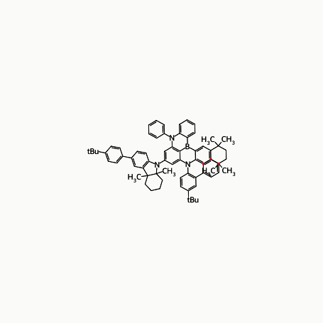 CC(C)(C)c1ccc(-c2ccc3c(c2)C2(C)CCCCC2(C)N3c2cc3c4c(c2)N(c2ccc(C(C)(C)C)cc2-c2ccccc2)c2cc5c(cc2B4c2ccccc2N3c2ccccc2)C(C)(C)CCC5(C)C)cc1